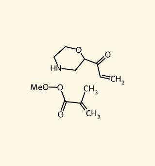 C=C(C)C(=O)OOC.C=CC(=O)C1CNCCO1